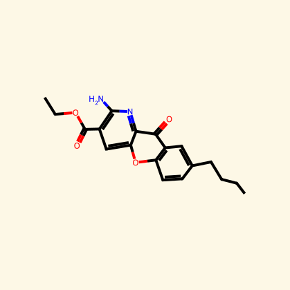 CCCCc1ccc2oc3cc(C(=O)OCC)c(N)nc3c(=O)c2c1